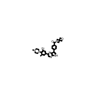 CCc1cc(-c2cnc3[nH]cc(-c4ccc(C(=O)N5CC6(COC6)C5)cc4)c3n2)cc(C)c1N1CCN(C)CC1